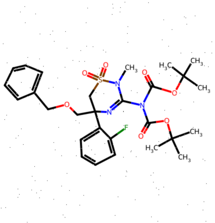 CN1C(N(C(=O)OC(C)(C)C)C(=O)OC(C)(C)C)=NC(COCc2ccccc2)(c2ccccc2F)CS1(=O)=O